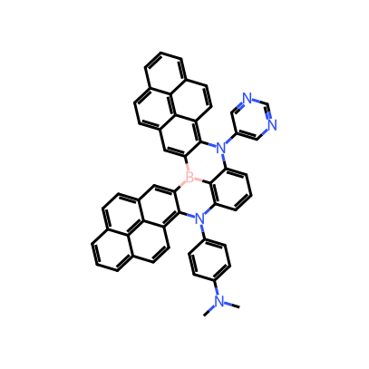 CN(C)c1ccc(N2c3cccc4c3B(c3cc5ccc6cccc7ccc(c32)c5c67)c2cc3ccc5cccc6ccc(c2N4c2cncnc2)c3c56)cc1